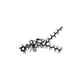 CCCCCCCCCCCC(CCCCCCCC)CC(S)OC(CC)OC(O)([PH2]=O)C(=O)OCc1ccccc1